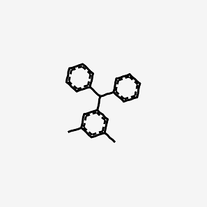 Cc1cc(C)cc([C](c2ccccc2)c2ccccc2)c1